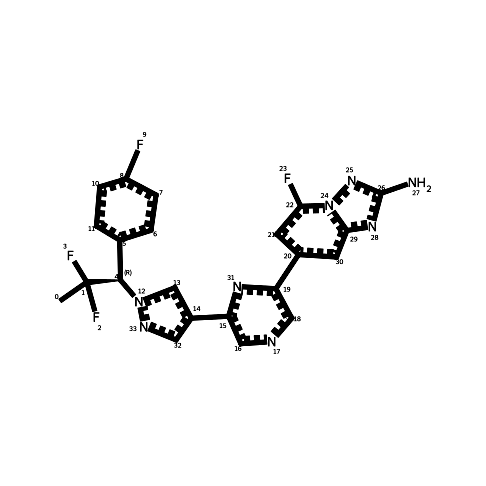 CC(F)(F)[C@@H](c1ccc(F)cc1)n1cc(-c2cncc(-c3cc(F)n4nc(N)nc4c3)n2)cn1